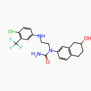 NC(=O)N(CCNc1ccc(Cl)c(C(F)(F)F)c1)c1ccc2c(c1)CC(O)CC2